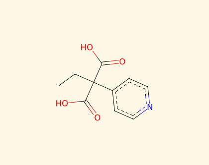 CCC(C(=O)O)(C(=O)O)c1ccncc1